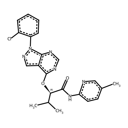 Cc1ccc(NC(=O)[C@H](Oc2ncnc3c2cnn3-c2ccccc2Cl)C(C)C)nc1